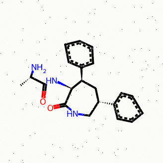 C[C@H](N)C(=O)N[C@@H]1C(=O)NC[C@@H](c2ccccc2)C[C@@H]1c1ccccc1